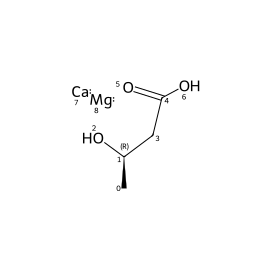 C[C@@H](O)CC(=O)O.[Ca].[Mg]